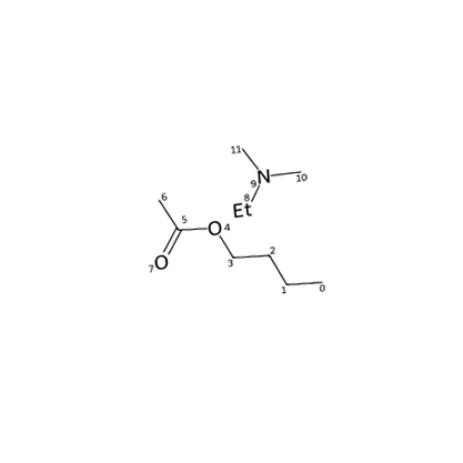 CCCCOC(C)=O.CCN(C)C